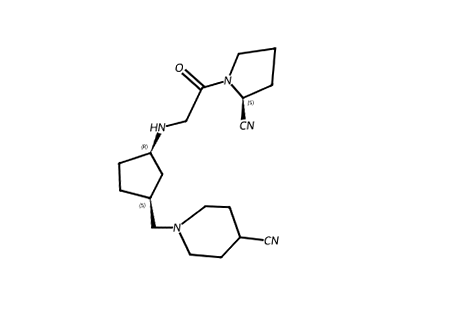 N#CC1CCN(C[C@H]2CC[C@@H](NCC(=O)N3CCC[C@H]3C#N)C2)CC1